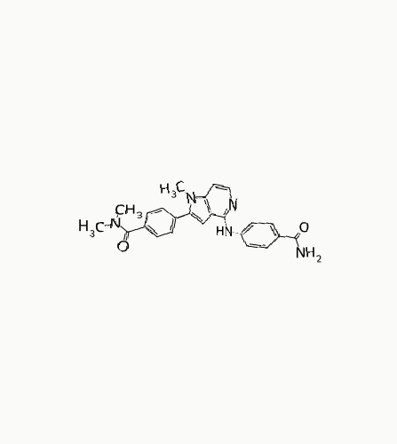 CN(C)C(=O)c1ccc(-c2cc3c(Nc4ccc(C(N)=O)cc4)nccc3n2C)cc1